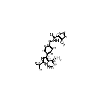 COc1ccsc1C(=O)NCc1ccc(-c2nc(C(C)C)n3ncnc(N)c23)cc1